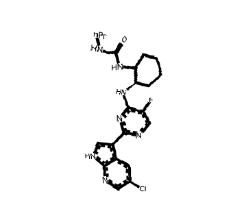 CCCNC(=O)NC1CCCC[C@H]1Nc1nc(-c2c[nH]c3ncc(Cl)cc23)ncc1F